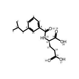 CC(C)Cc1cccc(C(=O)N[C@H](CCC(=O)O)C(=O)O)c1